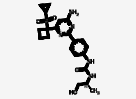 C[C@H](CO)NC(=O)Nc1ccc(-c2nc(N)cc(C3(S(=O)(=O)C4CC4)CCC3)n2)cc1